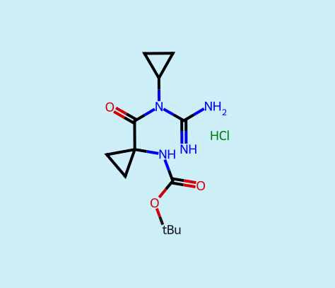 CC(C)(C)OC(=O)NC1(C(=O)N(C(=N)N)C2CC2)CC1.Cl